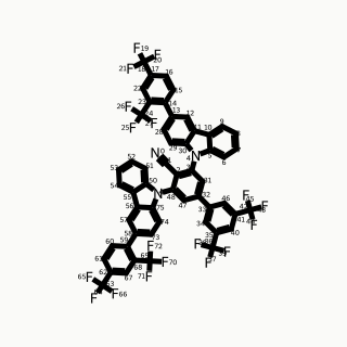 N#Cc1c(-n2c3ccccc3c3cc(-c4ccc(C(F)(F)F)cc4C(F)(F)F)ccc32)cc(-c2cc(C(F)(F)F)cc(C(F)(F)F)c2)cc1-n1c2ccccc2c2cc(-c3ccc(C(F)(F)F)cc3C(F)(F)F)ccc21